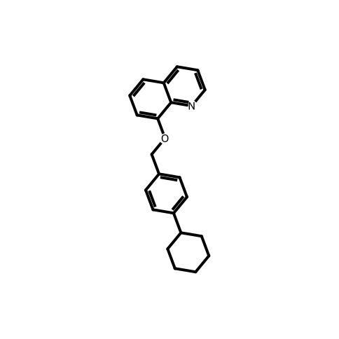 c1cnc2c(OCc3ccc(C4CCCCC4)cc3)cccc2c1